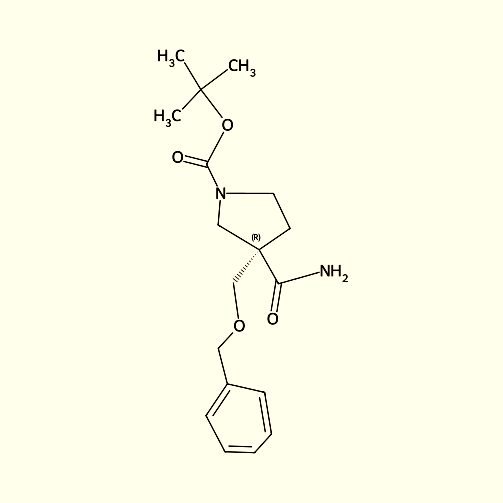 CC(C)(C)OC(=O)N1CC[C@@](COCc2ccccc2)(C(N)=O)C1